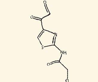 O=CC(=O)c1csc(NC(=O)CCl)n1